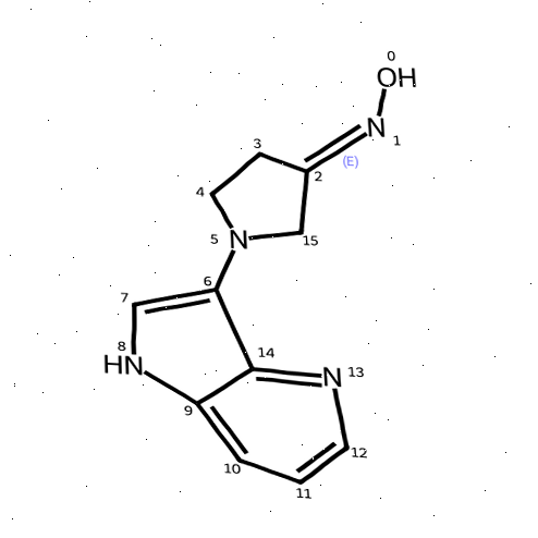 O/N=C1\CCN(c2c[nH]c3cccnc23)C1